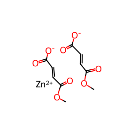 COC(=O)C=CC(=O)[O-].COC(=O)C=CC(=O)[O-].[Zn+2]